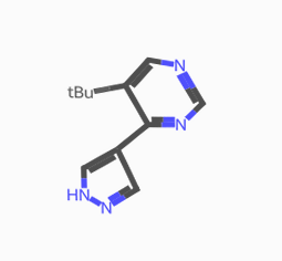 CC(C)(C)c1cncnc1-c1cn[nH]c1